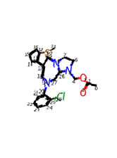 CC(=O)OCN1CCN2C3=S(C)C4=C(CC=C4)C3=CN(c3ccccc3Cl)CC12